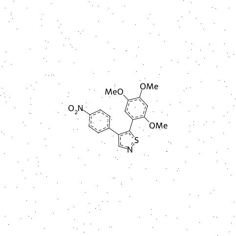 COc1cc(OC)c(-c2sncc2-c2ccc([N+](=O)[O-])cc2)cc1OC